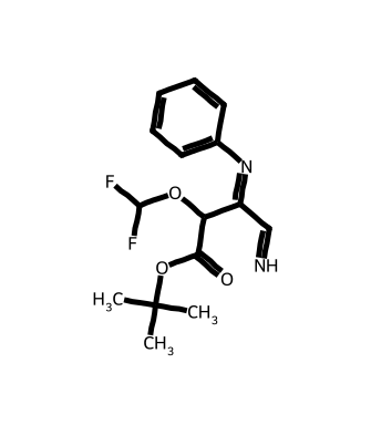 CC(C)(C)OC(=O)C(OC(F)F)C(C=N)=Nc1ccccc1